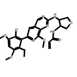 C=CC(=O)NC1COCC1Nc1ncc2cc(-c3c(Cl)c(OC)cc(OC)c3CC)nc(OC)c2n1